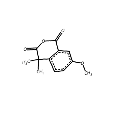 COc1ccc2c(c1)C(=O)OC(=O)C2(C)C